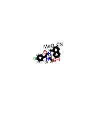 COc1c(C#N)cc2ccccc2c1CN(C)C(=O)C(c1ccc(F)cc1)N(C)CCO